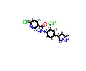 Cl.O=C(Nc1ccc(C2CCNC2)cc1)c1ccc(Cl)nc1